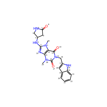 Cn1c(NC2CNC(=O)C2)nc2c1c(=O)n(Cc1cc3ccccc3[nH]1)c(=O)n2C